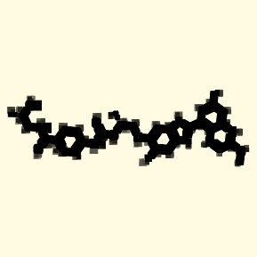 COc1cnc2c(-c3nc4cc(F)c(OC[C@@H](C)OC(=O)Nc5ccc(C(=O)NC[C@H](C)O)nc5)cc4s3)cc(C)cc2n1